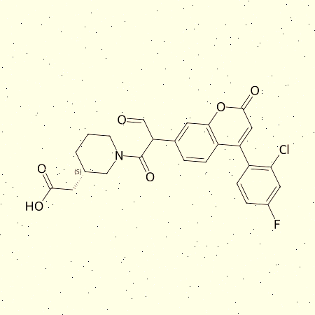 O=CC(C(=O)N1CCC[C@@H](CC(=O)O)C1)c1ccc2c(-c3ccc(F)cc3Cl)cc(=O)oc2c1